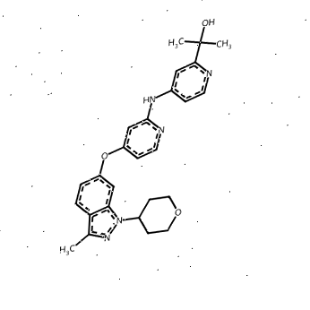 Cc1nn(C2CCOCC2)c2cc(Oc3ccnc(Nc4ccnc(C(C)(C)O)c4)c3)ccc12